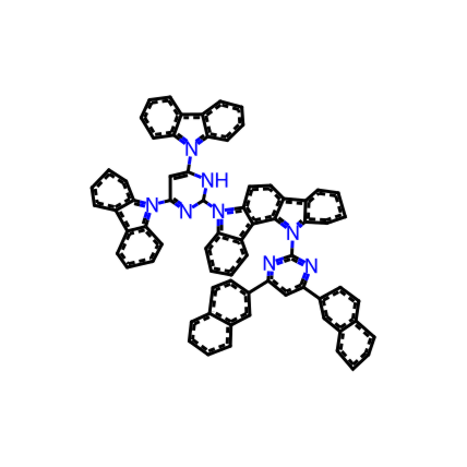 C1=C(n2c3ccccc3c3ccccc32)NC(n2c3ccccc3c3c4c(ccc32)c2ccccc2n4-c2nc(-c3ccc4ccccc4c3)cc(-c3ccc4ccccc4c3)n2)N=C1n1c2ccccc2c2ccccc21